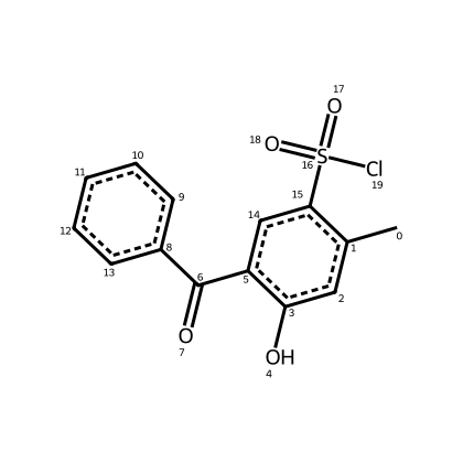 Cc1cc(O)c(C(=O)c2ccccc2)cc1S(=O)(=O)Cl